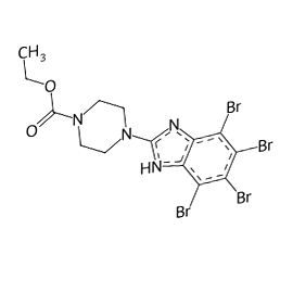 CCOC(=O)N1CCN(c2nc3c(Br)c(Br)c(Br)c(Br)c3[nH]2)CC1